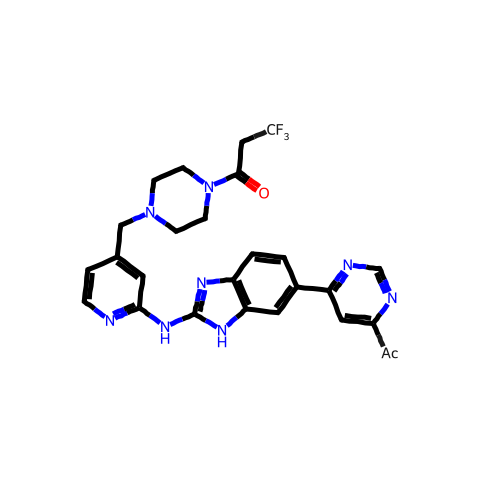 CC(=O)c1cc(-c2ccc3nc(Nc4cc(CN5CCN(C(=O)CC(F)(F)F)CC5)ccn4)[nH]c3c2)ncn1